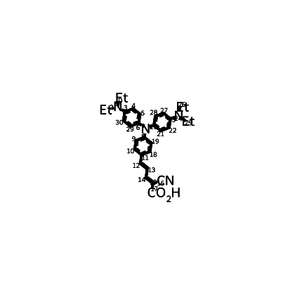 CCN(CC)c1ccc(N(c2ccc(/C=C/C=C(\C#N)C(=O)O)cc2)c2ccc(N(CC)CC)cc2)cc1